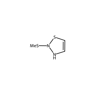 CSN1NC=CS1